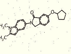 Cc1cc2cc(N3Cc4ccc(OC5CCCC5)cc4C3=O)ccc2n1C